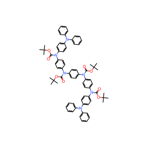 CC(C)(C)OC(=O)N(c1ccc(N(C(=O)OC(C)(C)C)c2ccc(N(C(=O)OC(C)(C)C)c3ccc(N(c4ccccc4)c4ccccc4)cc3)cc2)cc1)c1ccc(N(C(=O)OC(C)(C)C)c2ccc(N(c3ccccc3)c3ccccc3)cc2)cc1